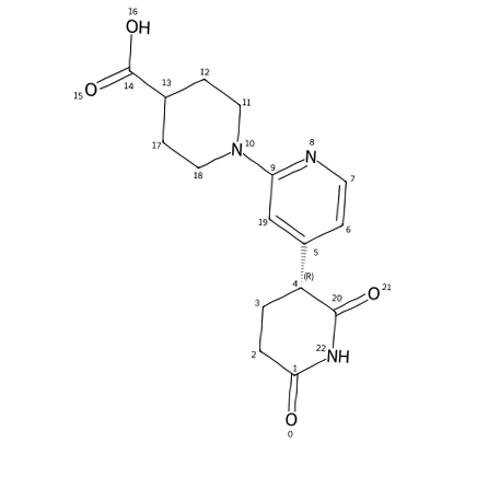 O=C1CC[C@H](c2ccnc(N3CCC(C(=O)O)CC3)c2)C(=O)N1